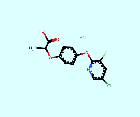 CC(Oc1ccc(Oc2ncc(Cl)cc2F)cc1)C(=O)O.Cl